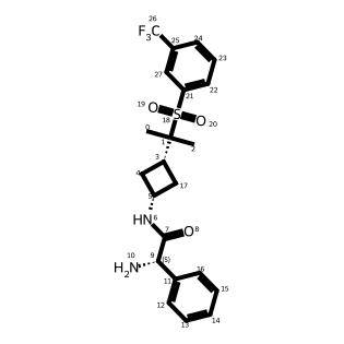 CC(C)([C@H]1C[C@@H](NC(=O)[C@@H](N)c2ccccc2)C1)S(=O)(=O)c1cccc(C(F)(F)F)c1